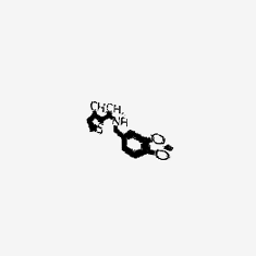 C=C(NCc1ccc2c(c1)OCO2)c1sccc1C